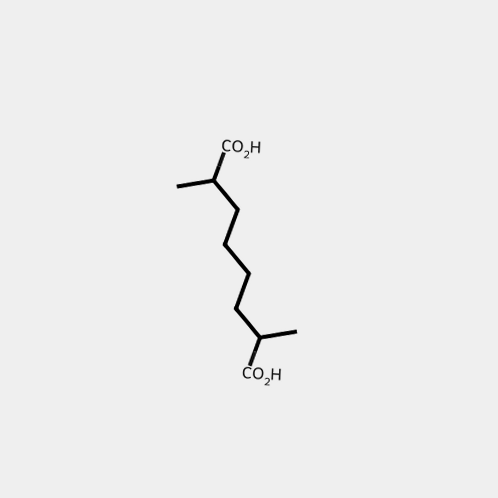 CC(CCCCC(C)C(=O)O)C(=O)O